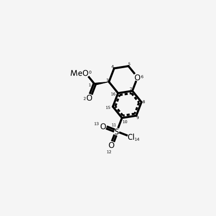 COC(=O)[C@H]1CCOc2ccc(S(=O)(=O)Cl)cc21